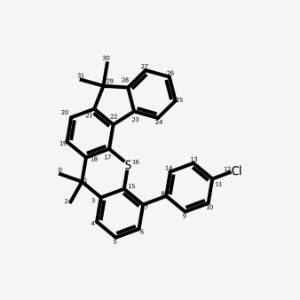 CC1(C)c2cccc(-c3ccc(Cl)cc3)c2Sc2c1ccc1c2-c2ccccc2C1(C)C